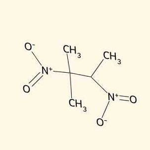 CC([N+](=O)[O-])C(C)(C)[N+](=O)[O-]